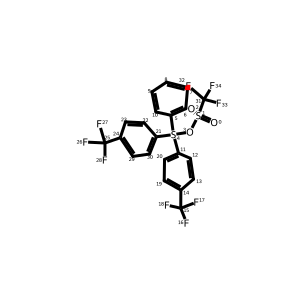 O=S(=O)(OS(c1ccccc1)(c1ccc(C(F)(F)F)cc1)c1ccc(C(F)(F)F)cc1)C(F)(F)F